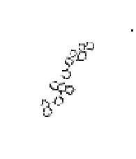 c1cc(-c2cccc3ccccc23)cc(-c2c3ccccc3c(-c3ccc(-c4ccc5oc6c(ccc7c8ccccc8oc76)c5c4)cc3)c3ccccc23)c1